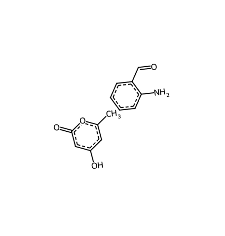 Cc1cc(O)cc(=O)o1.Nc1ccccc1C=O